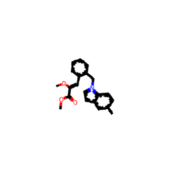 COC(=O)C(=Cc1ccccc1Cn1ccc2cc(C)ccc21)OC